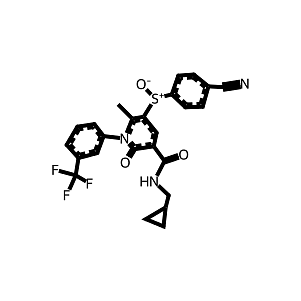 Cc1c([S+]([O-])c2ccc(C#N)cc2)cc(C(=O)NCC2CC2)c(=O)n1-c1cccc(C(F)(F)F)c1